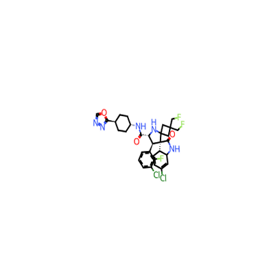 O=C(N[C@H]1CC[C@H](c2nnco2)CC1)[C@@H]1NC2(CC(CF)(CF)C2)[C@@]2(C(=O)NC3C=C(Cl)C=CC32)[C@H]1c1cccc(Cl)c1F